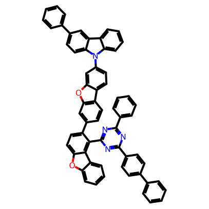 c1ccc(-c2ccc(-c3nc(-c4ccccc4)nc(-c4c(-c5ccc6c(c5)oc5cc(-n7c8ccccc8c8cc(-c9ccccc9)ccc87)ccc56)ccc5oc6ccccc6c45)n3)cc2)cc1